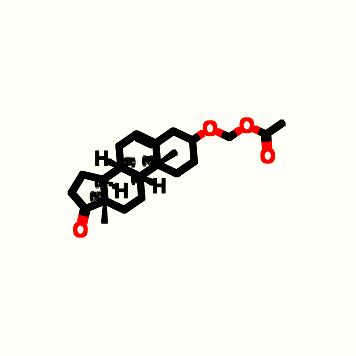 CC(=O)OCOC1CC[C@@]2(C)C(=CC[C@@H]3[C@H]2CC[C@]2(C)C(=O)CC[C@@H]32)C1